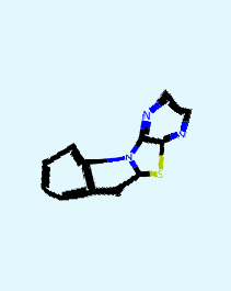 c1ccc2c(c1)CC1Sc3nccnc3N21